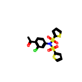 CC(=O)c1ccc(N(S(=O)(=O)c2cccs2)S(=O)(=O)c2cccs2)cc1Cl